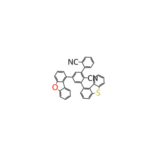 N#Cc1ccccc1-c1cc(-c2cccc3oc4ccccc4c23)cc(-c2cccc3sc4ccccc4c23)c1C#N